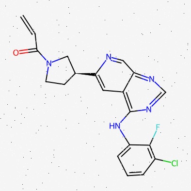 C=CC(=O)N1CC[C@H](c2cc3c(Nc4cccc(Cl)c4F)ncnc3cn2)C1